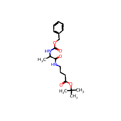 CC(NC(=O)OCc1ccccc1)C(=O)NCCCC(=O)OC(C)(C)C